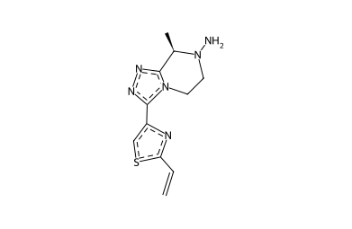 C=Cc1nc(-c2nnc3n2CCN(N)[C@@H]3C)cs1